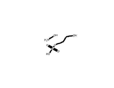 NO.O=S(=O)(O)OCCO